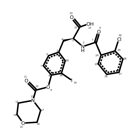 O=C(N[C@@H](Cc1ccc(OC(=O)N2CCOCC2)c(I)c1)C(=O)O)c1ccccc1Cl